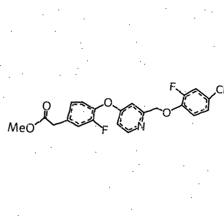 COC(=O)Cc1ccc(Oc2ccnc(COc3ccc(Cl)cc3F)c2)c(F)c1